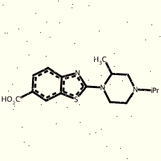 CC(C)N1CCN(c2nc3ccc(C(=O)O)cc3s2)C(C)C1